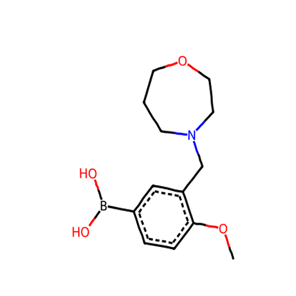 COc1ccc(B(O)O)cc1CN1CCCOCC1